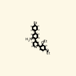 CCOc1ccc(-c2cc(-c3ccc(-c4ccc(CC)cc4)cc3N)ccn2)c(OCC)c1